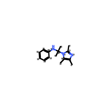 Cc1nc(C)n(C(C)(C)Nc2ccccc2)c1C